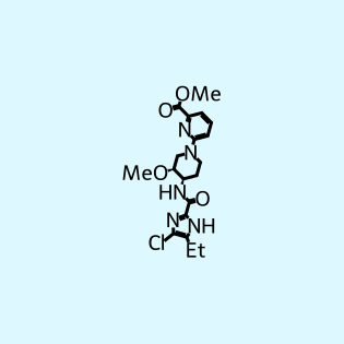 CCc1[nH]c(C(=O)N[C@@H]2CCN(c3cccc(C(=O)OC)n3)C[C@@H]2OC)nc1Cl